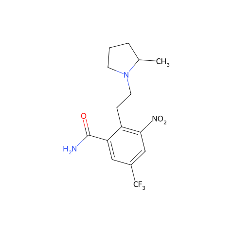 CC1CCCN1CCc1c(C(N)=O)cc(C(F)(F)F)cc1[N+](=O)[O-]